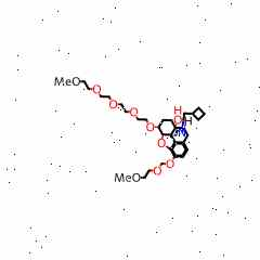 COCCOCCOCCOCCO[C@H]1CC[C@@]2(O)[C@H]3Cc4ccc(OCOCCOC)c5c4[C@@]2(CCN3CC2CCC2)C1O5